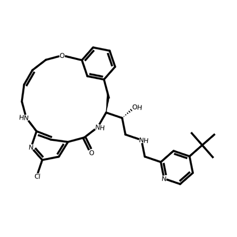 CC(C)(C)c1ccnc(CNC[C@@H](O)[C@@H]2Cc3cccc(c3)OCC=CCNc3cc(cc(Cl)n3)C(=O)N2)c1